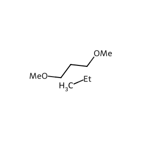 CCC.COCCCOC